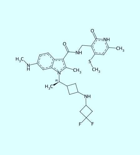 CNc1ccc2c(C(=O)NCc3c(SC)cc(C)[nH]c3=O)c(C)n([C@H](C)C3CC(NC4CC(F)(F)C4)C3)c2c1